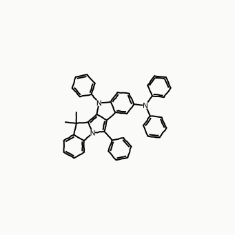 CC1(C)c2ccccc2-n2c(-c3ccccc3)c3c4cc(N(C5=CC=C=C=C5)c5ccccc5)ccc4n(-c4ccccc4)c3c21